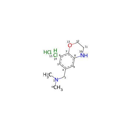 CN(C)Cc1ccc2c(c1)NCCO2.Cl.Cl